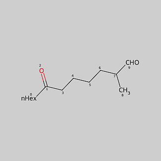 CCCCCCC(=O)CCCCC(C)C=O